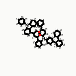 c1ccc(-c2ccc(N(c3ccc(-c4ccccc4-c4ccccc4)cc3)c3ccccc3-c3cccc(-c4cccc5c4c4ccccc4n5-c4ccccc4)c3)cc2)cc1